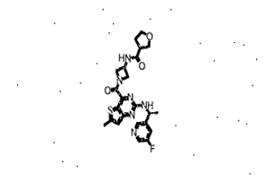 Cc1cc2nc(N[C@@H](C)c3cncc(F)c3)nc(C(=O)N3CC(NC(=O)C4CCOC4)C3)c2s1